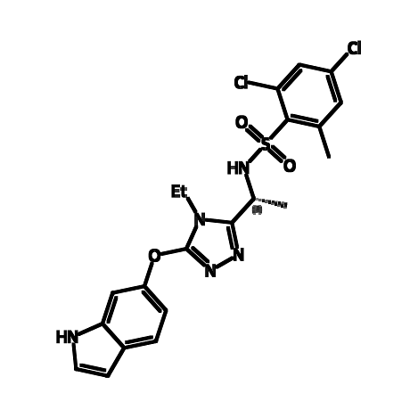 CCn1c(Oc2ccc3cc[nH]c3c2)nnc1[C@@H](C)NS(=O)(=O)c1c(C)cc(Cl)cc1Cl